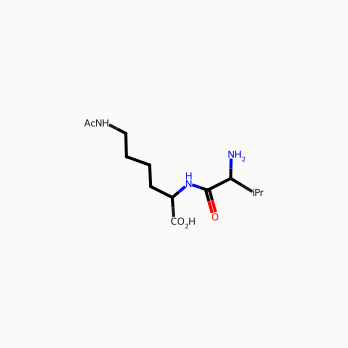 CC(=O)NCCCCC(NC(=O)C(N)C(C)C)C(=O)O